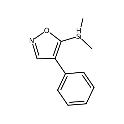 C[SiH](C)c1oncc1-c1ccccc1